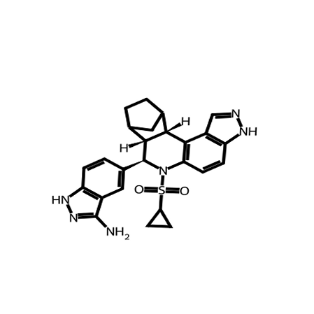 Nc1n[nH]c2ccc([C@H]3[C@@H]4C5CCC(C5)[C@@H]4c4c(ccc5[nH]ncc45)N3S(=O)(=O)C3CC3)cc12